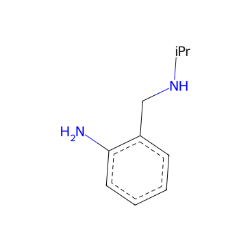 CC(C)NCc1ccccc1N